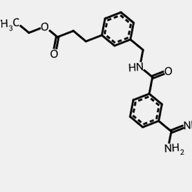 CCOC(=O)CCc1cccc(CNC(=O)c2cccc(C(=N)N)c2)c1